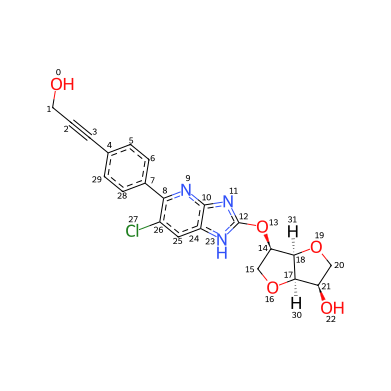 OCC#Cc1ccc(-c2nc3nc(O[C@@H]4CO[C@H]5[C@@H]4OC[C@H]5O)[nH]c3cc2Cl)cc1